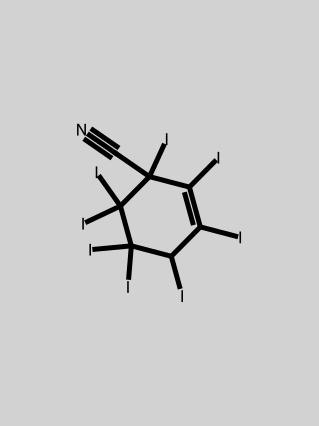 N#CC1(I)C(I)=C(I)C(I)C(I)(I)C1(I)I